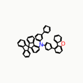 c1ccc(-c2cccc(N(c3ccc(-c4cccc5oc6ccccc6c45)cc3)c3cccc4c3-c3ccccc3C43c4ccccc4-c4ccccc43)c2)cc1